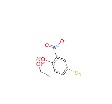 CCO.O=[N+]([O-])c1cc(S)ccc1O